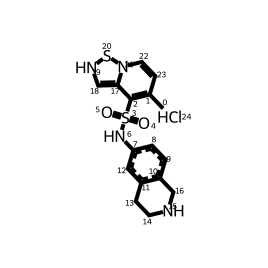 CC1=C(S(=O)(=O)Nc2ccc3c(c2)CCNC3)C2=CNSN2C=C1.Cl